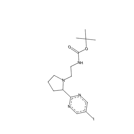 CC(C)(C)OC(=O)NCCN1CCCC1c1ncc(I)cn1